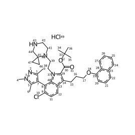 Cc1nn(C)c(C)c1-c1c(Cl)ccc2c(CCCOc3cccc4ccccc34)c(C(=O)OC(C)(C)C)n(CCN3CCNCC34CC4)c12.Cl